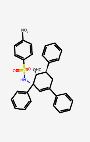 O=C[C@@H]1[C@@H](c2ccccc2)CC(c2ccccc2)=C[C@@]1(NS(=O)(=O)c1ccc([N+](=O)[O-])cc1)c1ccccc1